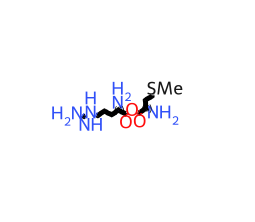 CSCC[C@H](N)C(=O)OC(=O)[C@@H](N)CCCNC(=N)N